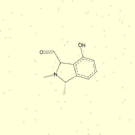 C[C@H]1c2cccc(O)c2C(C=O)N1C